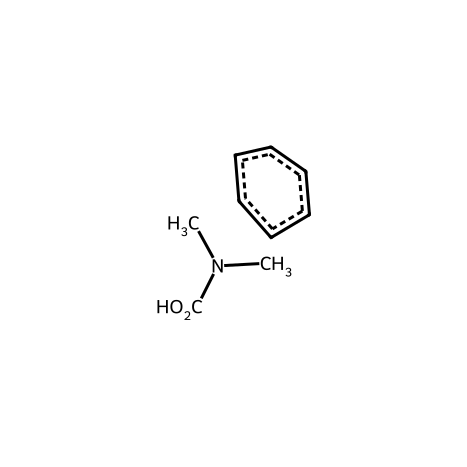 CN(C)C(=O)O.c1ccccc1